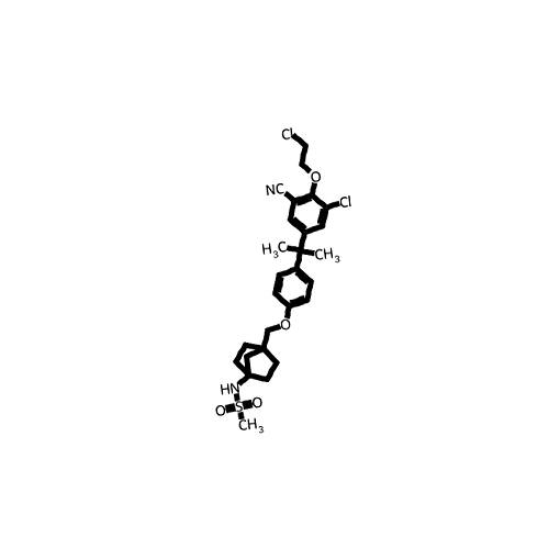 CC(C)(c1ccc(OCC23CCC(NS(C)(=O)=O)(CC2)C3)cc1)c1cc(Cl)c(OCCCl)c(C#N)c1